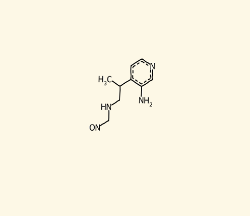 CC(CNCN=O)c1ccncc1N